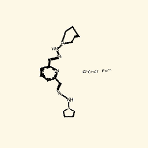 C(=NNN1CCCC1)c1cccc(C=NNN2CCCC2)n1.[Cl-].[Cl-].[Cl-].[Fe+3]